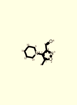 Cc1onc(C=O)c1N1CCCCC1